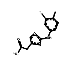 Cc1ccc(Nc2nc(CC(=O)O)cs2)cc1F